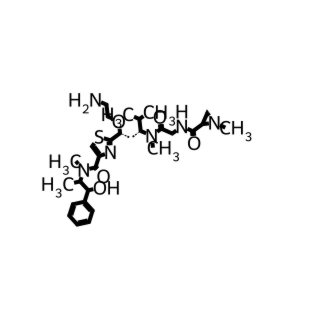 CC(C)[C@@H](C[C@@H](OCCN)c1nc(C(=O)N(C)C(C)C(O)c2ccccc2)cs1)N(C)C(=O)CNC(=O)C1CN1C